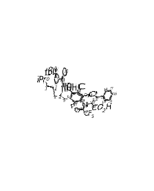 CC(C)CCCC(Cc1c(C=O)cc(OCc2ccccc2)c(N(CC(=O)O)C(=O)C(F)(F)F)c1F)NC(=O)OC(C)(C)C